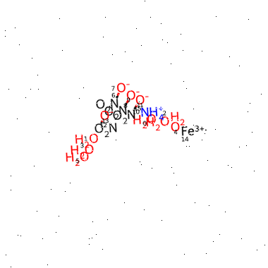 O.O.O.O.O.O.O=[N+]([O-])[O-].O=[N+]([O-])[O-].O=[N+]([O-])[O-].O=[N+]([O-])[O-].[Fe+3].[NH4+]